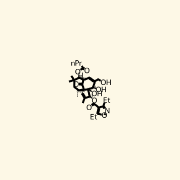 CCCC(=O)O[C@@H]1[C@@H]2C=C(CO)[C@@H](O)[C@]3(O)[C@@H](OC(=O)c4c(CC)noc4CC)C(C)=C[C@@]3(C2=O)[C@H](C)CC1(C)C